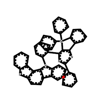 c1ccc(-c2nc(-c3ccccc3-n3c4ccccc4c4ccc5sc6ccccc6c5c43)c3c(n2)-c2ccccc2[Si]3(c2ccccc2)c2ccccc2)cc1